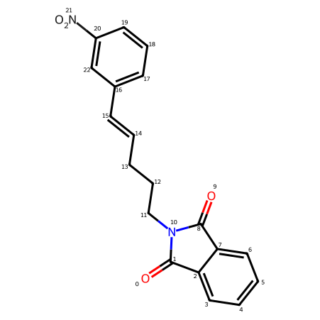 O=C1c2ccccc2C(=O)N1CCCC=Cc1cccc([N+](=O)[O-])c1